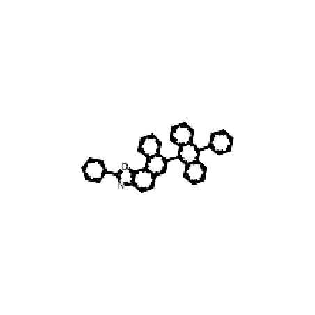 c1ccc(-c2nc3ccc4cc(-c5c6ccccc6c(-c6ccccc6)c6ccccc56)c5ccccc5c4c3o2)cc1